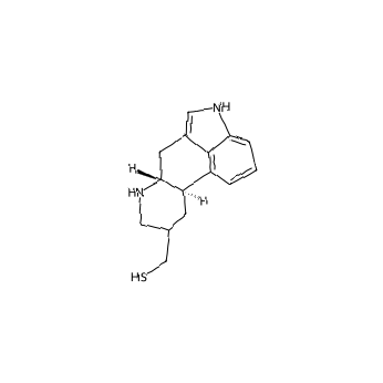 SCC1CN[C@@H]2Cc3c[nH]c4cccc(c34)[C@H]2C1